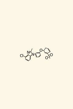 Cc1nc2c(Cl)cccc2n1-c1cccc(OC2C=C(S(C)(=O)=O)C=CC2)c1